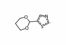 [c]1ncc(C2OCCCO2)s1